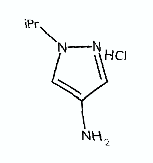 CC(C)n1cc(N)cn1.Cl